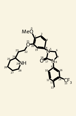 COc1ccc(N2CCN(c3ccc(C)c(C(F)(F)F)c3)C2=O)cc1OCCC1CCCCN1